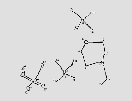 CCN1CCOCC1.C[N+](C)(C)C.C[N+](C)(C)C.O=S(=O)([O-])[O-]